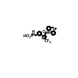 CN(Cc1cccc(NC(=O)c2cc(C(F)(F)F)nn2-c2cccc(CNC(=O)O)c2)c1)c1ccccc1